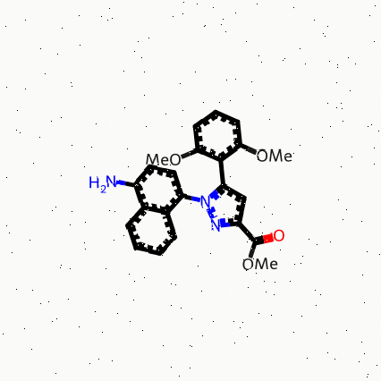 COC(=O)c1cc(-c2c(OC)cccc2OC)n(-c2ccc(N)c3ccccc23)n1